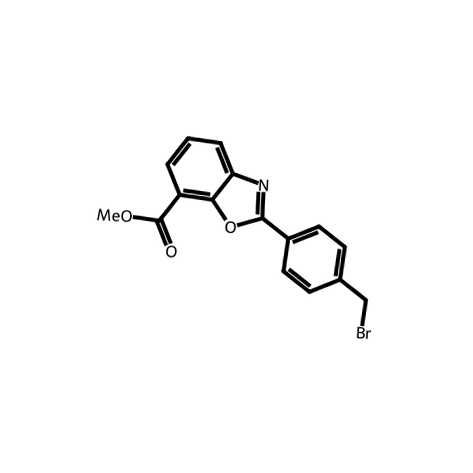 COC(=O)c1cccc2nc(-c3ccc(CBr)cc3)oc12